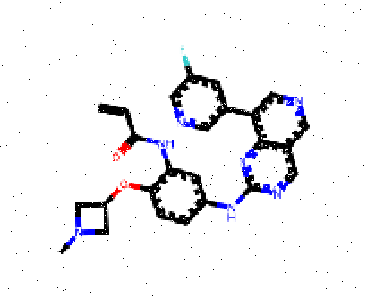 C=CC(=O)Nc1cc(Nc2ncc3cncc(-c4cncc(F)c4)c3n2)ccc1OC1CN(C)C1